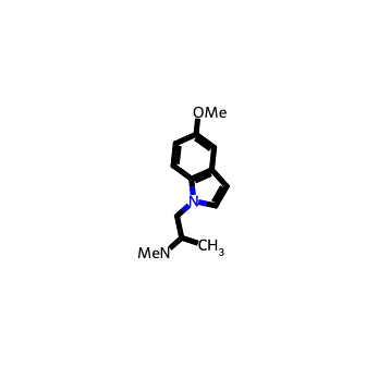 CNC(C)Cn1ccc2cc(OC)ccc21